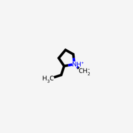 [CH2-][NH+]1CCCC1CC